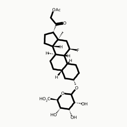 CC(=O)OCC(=O)[C@H]1CC[C@H]2[C@@H]3CC[C@H]4C[C@@H](OC5O[C@H](C(=O)O)[C@@H](O)[C@@H](O)[C@H]5O)CC[C@@H]4[C@H]3[C@H](F)C[C@]12C